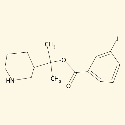 CC(C)(OC(=O)c1cccc(I)c1)C1CCCNC1